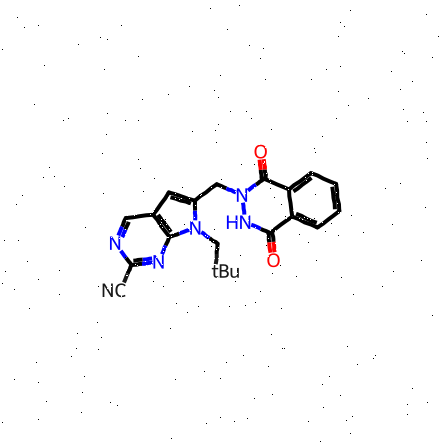 CC(C)(C)Cn1c(Cn2[nH]c(=O)c3ccccc3c2=O)cc2cnc(C#N)nc21